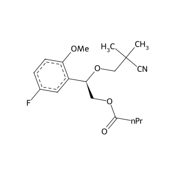 CCCC(=O)OC[C@H](OCC(C)(C)C#N)c1cc(F)ccc1OC